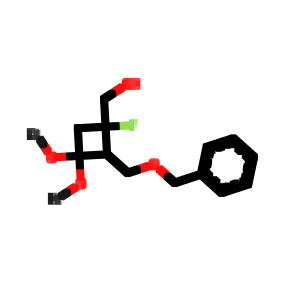 CCOC1(OCC)CC(F)(CO)C1COCc1ccccc1